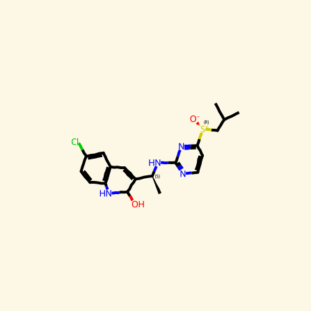 CC(C)C[S@+]([O-])c1ccnc(N[C@@H](C)C2=Cc3cc(Cl)ccc3NC2O)n1